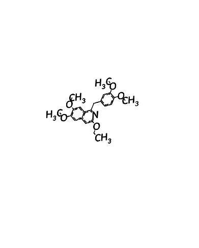 CCOc1cc2cc(OC)c(OC)cc2c(Cc2ccc(OC)c(OC)c2)n1